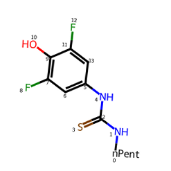 CCCCCNC(=S)Nc1cc(F)c(O)c(F)c1